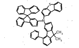 CC1(C)c2ccc(N(c3ccc4c(c3)C3(c5ccccc5-c5ccccc53)c3ccccc3-4)c3ccc4sc5ccccc5c4c3)cc2-c2c(-c3ccccc3)cccc21